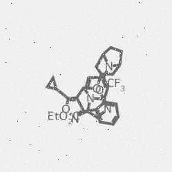 CCOC(=O)C1CN=C2C=C(N3C4CCC3CC(OCc3c(-c5ccccc5OC(F)(F)F)noc3C3CC3)C4)C=CN21